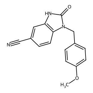 COc1ccc(Cn2c(=O)[nH]c3cc(C#N)ccc32)cc1